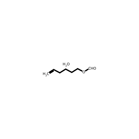 C=CCCCCOC=O.O